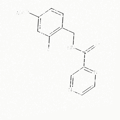 COc1ccc(CNC(=O)c2cnccn2)c(F)c1